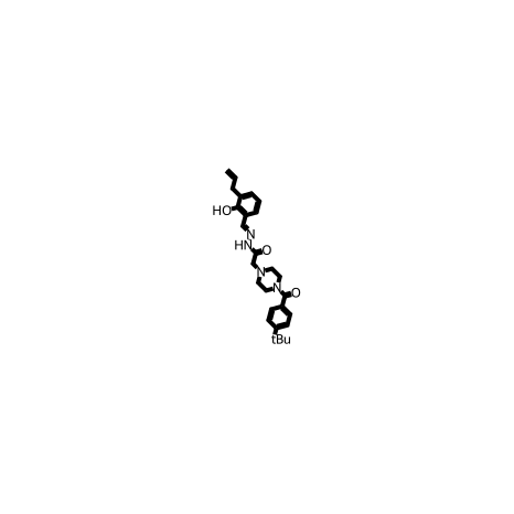 C=CCc1cccc(/C=N/NC(=O)CN2CCN(C(=O)c3ccc(C(C)(C)C)cc3)CC2)c1O